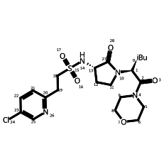 CC[C@H](C)[C@@H](C(=O)N1CCOCC1)N1CC[C@H](NS(=O)(=O)CCc2ccc(Cl)cn2)C1=O